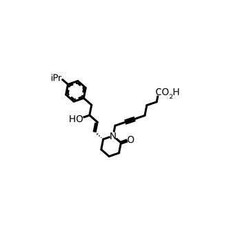 CC(C)c1ccc(CC(O)/C=C/[C@H]2CCCC(=O)N2CC#CCCCC(=O)O)cc1